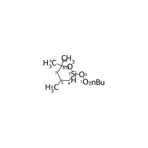 CCCCOO[SiH]1CC(C)CC(C)(C)O1